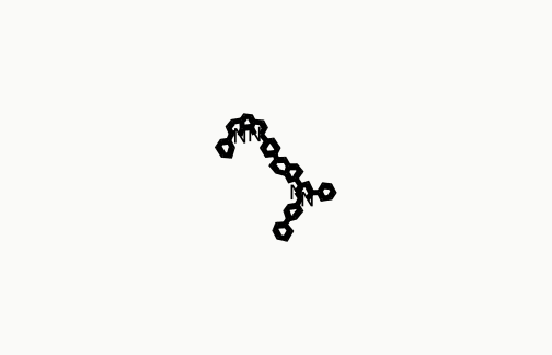 c1ccc(-c2ccc(-c3nc(-c4ccccc4)cc(-c4ccc5cc(-c6ccc(-c7ccc8ccc9ccc(-c%10ccccc%10)nc9c8n7)cc6)ccc5c4)n3)cc2)cc1